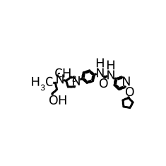 CC(CCO)N(C)C1CCN(c2ccc(NC(=O)Nc3ccc(OC4CCCC4)nc3)cc2)C1